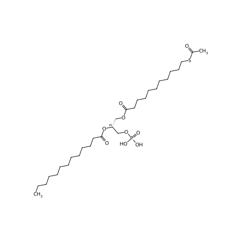 CCCCCCCCCCCCC(=O)O[C@H](COC(=O)CCCCCCCCCCSC(C)=O)COP(=O)(O)O